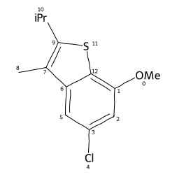 COc1cc(Cl)cc2c(C)c(C(C)C)sc12